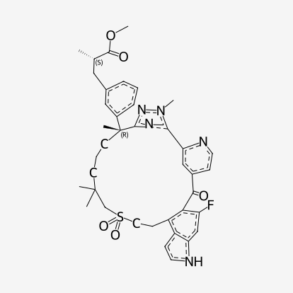 COC(=O)[C@@H](C)Cc1cccc([C@@]2(C)CCCC(C)(C)CS(=O)(=O)CCc3c(c(F)cc4[nH]ccc34)C(=O)c3ccnc(c3)-c3nc2nn3C)c1